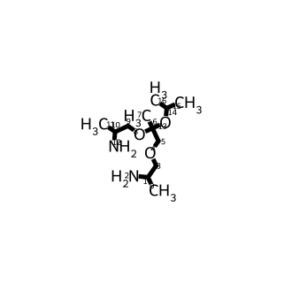 CC(N)COCC(C)(OCC(C)N)OC(C)C